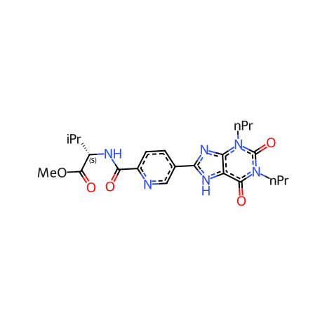 CCCn1c(=O)c2[nH]c(-c3ccc(C(=O)N[C@H](C(=O)OC)C(C)C)nc3)nc2n(CCC)c1=O